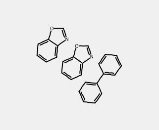 c1ccc(-c2ccccc2)cc1.c1ccc2ocnc2c1.c1ccc2ocnc2c1